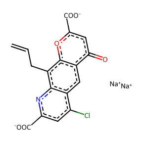 C=CCc1c2nc(C(=O)[O-])cc(Cl)c2cc2c(=O)cc(C(=O)[O-])oc12.[Na+].[Na+]